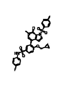 Cc1ccc(S(=O)(=O)n2ccc3c(-c4cc(S(=O)(=O)Nc5ccc(F)cc5)ccc4OCC4CC4)cn(C)c(=O)c32)cc1